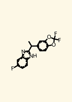 CC(c1ccc2c(c1)OC(F)(F)O2)c1nc2cc(F)ccc2[nH]1